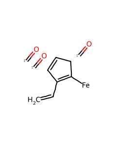 C=CC1=[C]([Fe])CC=C1.[C]=O.[C]=O.[C]=O